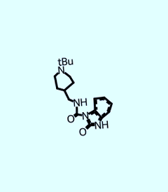 CC(C)(C)N1CCC(CNC(=O)n2c(=O)[nH]c3ccccc32)CC1